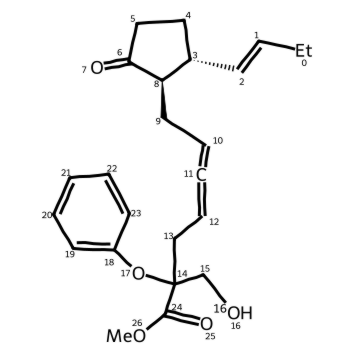 CC/C=C/[C@H]1CCC(=O)[C@@H]1CC=C=CCC(C[16OH])(Oc1ccccc1)C(=O)OC